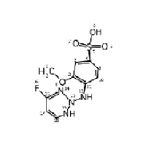 COc1cc(S(=O)(=O)O)ccc1NN1N=C(F)C=[C]N1